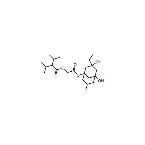 CCC1(O)CC2(O)CC(C)CC(OC(=O)COC(=O)C(C(C)C)C(C)C)(C1)C2